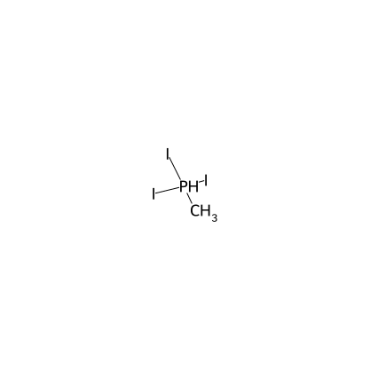 C[PH](I)(I)I